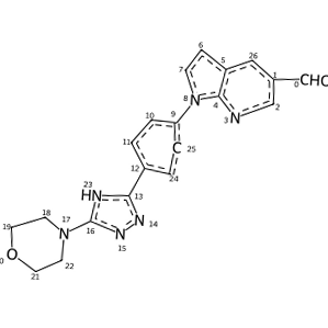 O=Cc1cnc2c(ccn2-c2ccc(-c3nnc(N4CCOCC4)[nH]3)cc2)c1